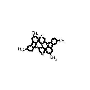 Cc1ccc2c(c1)c1cc(C)ccc1n2-c1cnccc1-c1ccncc1-n1c2ccc(C)cc2c2cc(C)ccc21